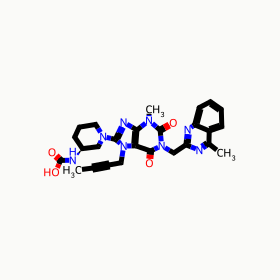 CC#CCn1c(N2CCC[C@@H](NC(=O)O)C2)nc2c1c(=O)n(Cc1nc(C)c3ccccc3n1)c(=O)n2C